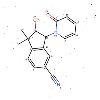 CC1(C)c2ccc(C#N)cc2C(n2ccccc2=O)C1O